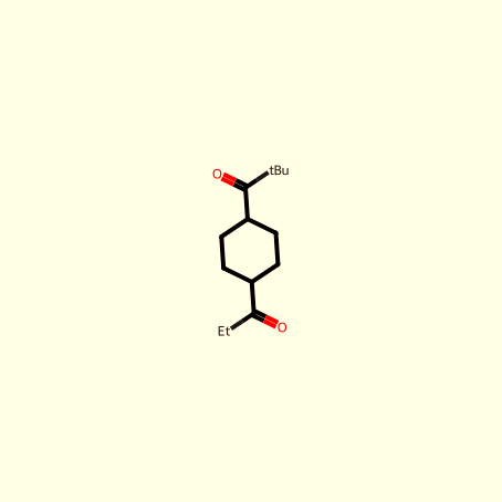 CCC(=O)C1CCC(C(=O)C(C)(C)C)CC1